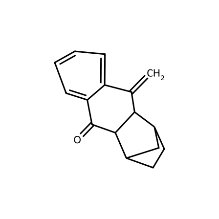 C=C1c2ccccc2C(=O)C2C3CCC(C3)C12